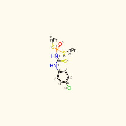 CCCSP(=O)(NC(=S)Nc1ccc(Cl)cc1)SCCC